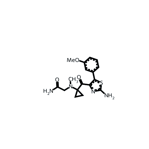 COc1cccc(-c2sc(N)nc2C(=O)C2(N(C)CC(N)=O)CC2)c1